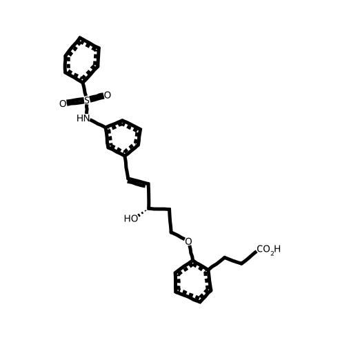 O=C(O)CCc1ccccc1OCC[C@H](O)/C=C/c1cccc(NS(=O)(=O)c2ccccc2)c1